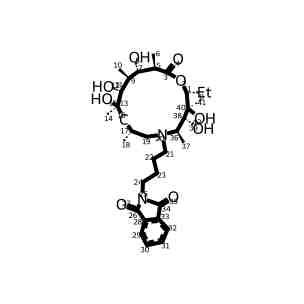 CC[C@H]1OC(=O)[C@H](C)[C@@H](O)[C@H](C)[C@@H](O)[C@](C)(O)C[C@@H](C)CN(CCCCN2C(=O)c3ccccc3C2=O)[C@H](C)[C@@H](O)[C@]1(C)O